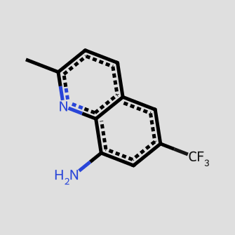 Cc1ccc2cc(C(F)(F)F)cc(N)c2n1